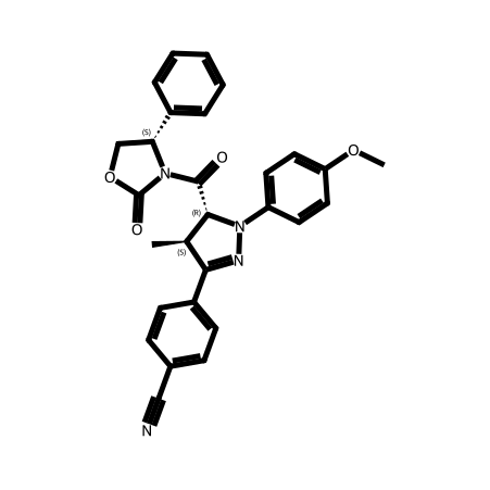 COc1ccc(N2N=C(c3ccc(C#N)cc3)[C@@H](C)[C@@H]2C(=O)N2C(=O)OC[C@@H]2c2ccccc2)cc1